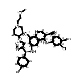 COCCN1CCC(n2cc([C@@H](Nc3cc(Cl)c4ncc(C#N)c(Nc5ccc(F)c(Cl)c5)c4c3)c3ccc(F)cc3)nn2)CC1